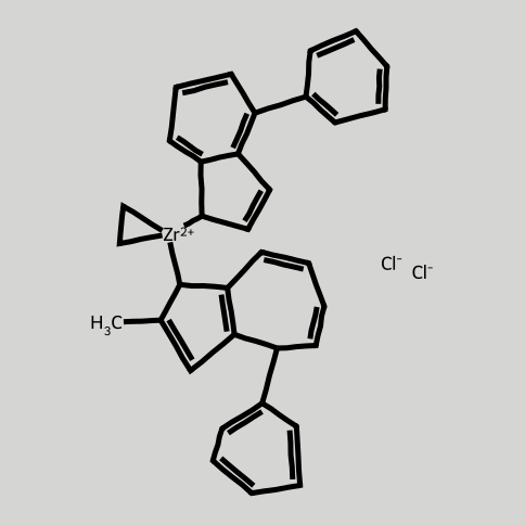 CC1=CC2=C(C=CC=CC2c2ccccc2)[CH]1[Zr+2]1([CH]2C=Cc3c(-c4ccccc4)cccc32)[CH2][CH2]1.[Cl-].[Cl-]